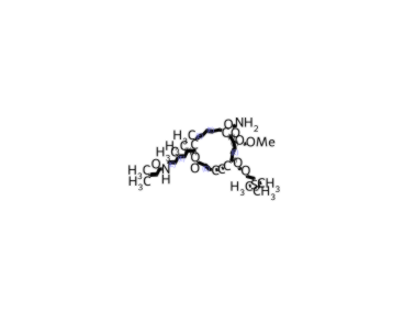 COCO[C@@H]1/C=C/[C@H](OCOCC[Si](C)(C)C)CCC/C=C/C(=O)O[C@@H]([C@H](C)/C=C(C)/C=C/NC(=O)C=C(C)C)C/C(C)=C/C=C/CC[C@H]1OC(N)=O